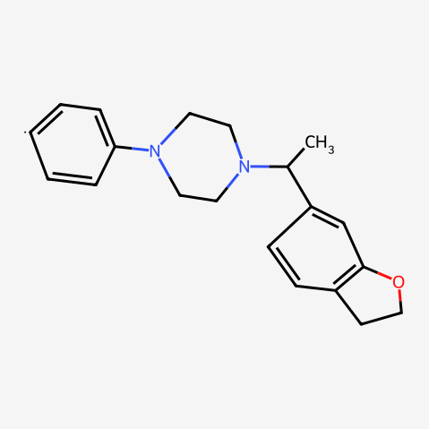 CC(c1ccc2c(c1)OCC2)N1CCN(c2cc[c]cc2)CC1